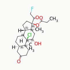 CCC(=O)O[C@]1(C(=O)CF)CC[C@H]2[C@@H]3CC[C@@H]4CC(=O)CC[C@]4(C)[C@@]3(Cl)[C@@H](O)C[C@@]21C